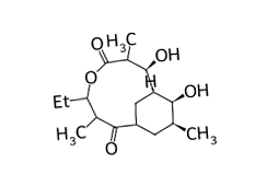 CCC1OC(=O)C(C)[C@@H](O)[C@@H]2CC(C[C@H](C)[C@@H]2O)C(=O)C1C